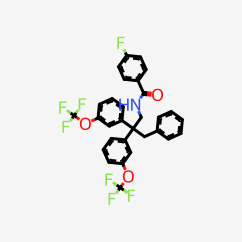 O=C(NCC(Cc1ccccc1)(c1cccc(OC(F)(F)F)c1)c1cccc(OC(F)(F)F)c1)c1ccc(F)cc1